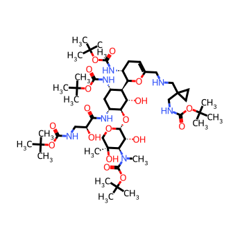 CN(C(=O)OC(C)(C)C)[C@@H]1[C@@H](O)[C@@H](O[C@@H]2[C@@H](O)[C@H](C3OC(CNCC4(CNC(=O)OC(C)(C)C)CC4)=CC[C@H]3NC(=O)OC(C)(C)C)[C@@H](NC(=O)OC(C)(C)C)C[C@H]2NC(=O)[C@@H](O)CNC(=O)OC(C)(C)C)OC[C@]1(C)O